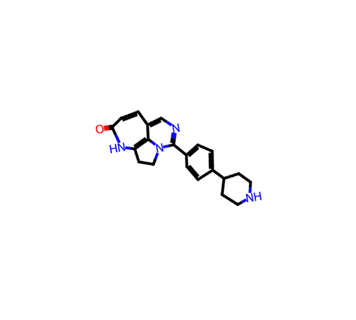 O=C1C=CC2=CN=C(c3ccc(C4CCNCC4)cc3)N3CCC(=C23)N1